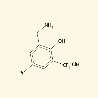 CC(C)c1cc(CN)c(O)c(C(F)(F)F)c1.Cl